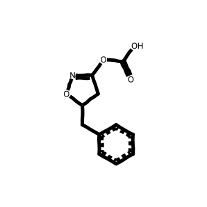 O=C(O)OC1=NOC(Cc2ccccc2)C1